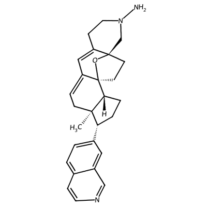 C[C@]12CC=C3C=C4CCN(N)C[C@]45CC[C@]3(O5)[C@@H]1CC[C@@H]2c1ccc2ccncc2c1